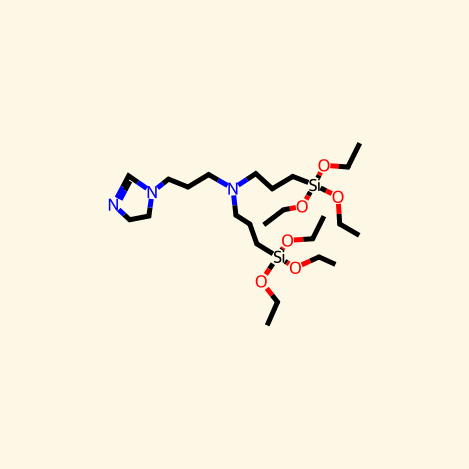 CCO[Si](CCCN(CCCN1C=NCC1)CCC[Si](OCC)(OCC)OCC)(OCC)OCC